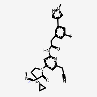 C/N=C\[C@@]1(C2CC2)CCN(c2cc(CC#N)nc(NC(=O)Cc3cc(F)cc(-c4cnn(C)c4)c3)c2)C1=O